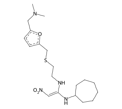 CN(C)Cc1ccc(CSCCNC(=C[N+](=O)[O-])NC2CCCCCC2)o1